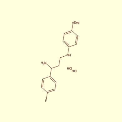 CCCCCCCCCCc1ccc(NCCC(N)c2ccc(F)cc2)cc1.Cl.Cl